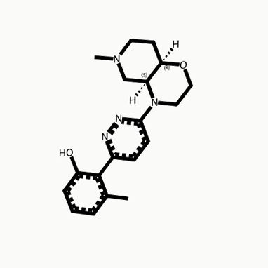 Cc1cccc(O)c1-c1ccc(N2CCO[C@@H]3CCN(C)C[C@@H]32)nn1